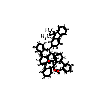 CC1(C)c2ccccc2-c2ccc(N(c3ccc4c(c3)Oc3ccccc3C43c4ccccc4-c4ccccc4-c4ccccc43)c3ccccc3-c3ccccc3)cc21